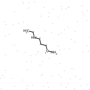 CCNCCCON